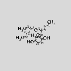 CCCCC(=COC=C(CC)CCCC)CC.Oc1ccc(O)cc1